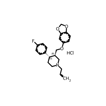 C=CCN1CC[C@H](c2ccc(F)cc2)[C@@H](COc2ccc3c(c2)OCO3)C1.Cl